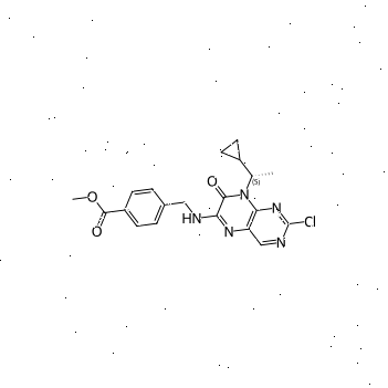 COC(=O)c1ccc(CNc2nc3cnc(Cl)nc3n([C@@H](C)C3CC3)c2=O)cc1